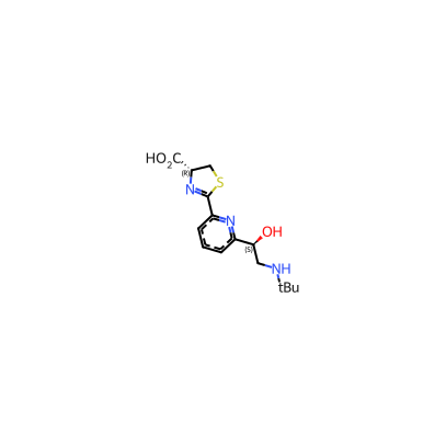 CC(C)(C)NC[C@H](O)c1cccc(C2=N[C@H](C(=O)O)CS2)n1